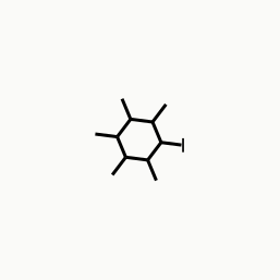 CC1C(C)C(C)C(I)C(C)C1C